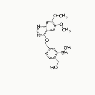 COc1cc2ncnc(OCc3ccc(CO)c(BO)c3)c2cc1OC